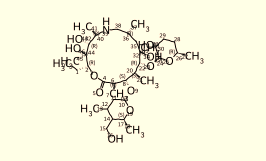 CC[C@H]1OC(=O)[C@H](C)[C@@H](O[C@H]2CC(C)C(CO)[C@H](C)O2)[C@H](C)[C@@H](O[C@@H]2O[C@H](C)CC[C@H]2O)[C@](C)(O)C[C@@H](C)CN[C@H](C)[C@@H](O)[C@]1(C)O